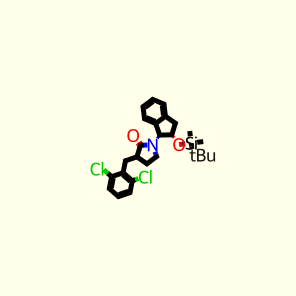 CC(C)(C)[Si](C)(C)O[C@@H]1Cc2ccccc2[C@@H]1N1CCC(Cc2c(Cl)cccc2Cl)C1=O